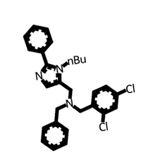 CCCCn1c(CN(Cc2ccccc2)Cc2ccc(Cl)cc2Cl)cnc1-c1ccccc1